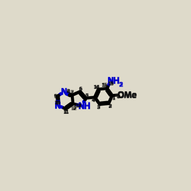 COc1ccc(-c2cc3ncncc3[nH]2)cc1N